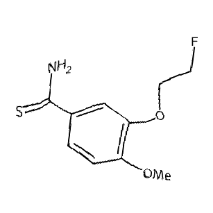 COc1ccc(C(N)=S)cc1OCCF